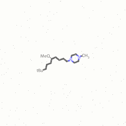 CO[C@H](CCCCN1CCN(C)CC1)CCCC(C)(C)C